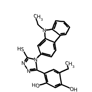 CCc1cc(-c2nnc(S)n2-c2ccc3c4ccccc4n(CC)c3c2)c(O)cc1O